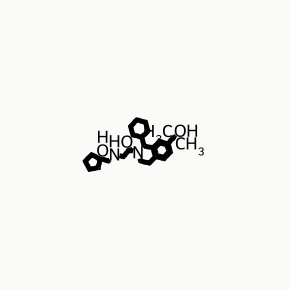 CC(C)(O)c1ccc2c(c1)C(C1CCCCC1)N(C(=O)CNCC1(O)CCCC1)CC2